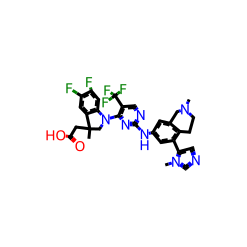 CN1CCc2c(cc(Nc3ncc(C(F)(F)F)c(N4CC(C)(CC(=O)O)c5cc(F)c(F)cc54)n3)cc2-c2cncn2C)C1